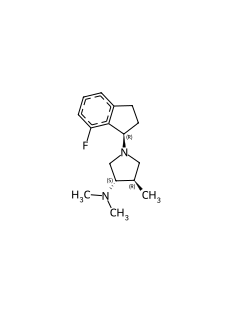 C[C@@H]1CN([C@@H]2CCc3cccc(F)c32)C[C@H]1N(C)C